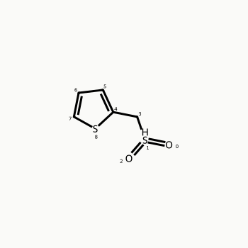 O=[SH](=O)Cc1cccs1